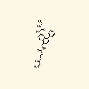 CCNC(=O)Nc1cc2c(-c3ccncc3)ccc(CNC(=O)OCCC(=O)OC)c2cn1